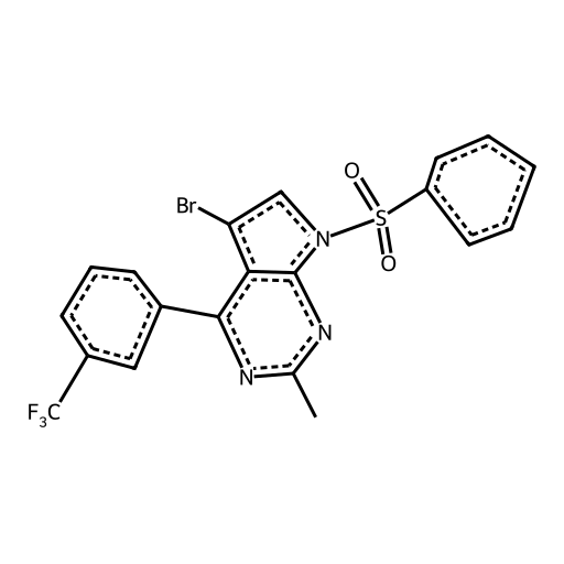 Cc1nc(-c2cccc(C(F)(F)F)c2)c2c(Br)cn(S(=O)(=O)c3ccccc3)c2n1